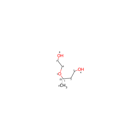 C[C@@H](CCO)OCCO